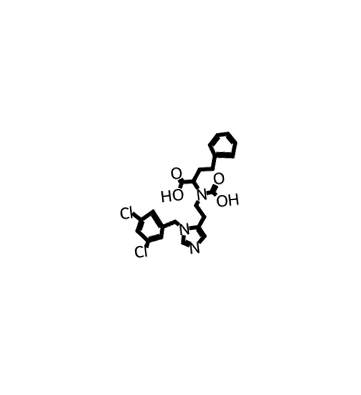 O=C(O)C(CCc1ccccc1)N(CCc1cncn1Cc1cc(Cl)cc(Cl)c1)C(=O)O